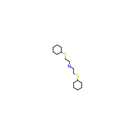 C1CCC(SCC[N]CCSC2CCCCC2)CC1